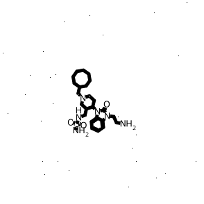 NCCn1c(=O)n(C2CCN(CC3CCCCCCC3)CC2CNS(N)(=O)=O)c2ccccc21